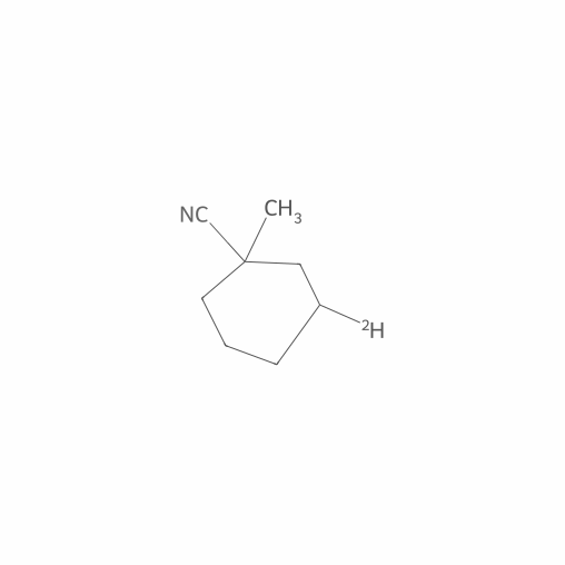 [2H]C1CCCC(C)(C#N)C1